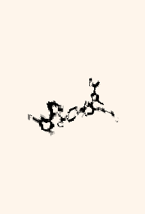 Bc1cnc(N2CCN(C(=O)N3N=CCC3c3cc(F)cc(F)c3)CC2)nc1-n1cc(C(=C)OC)cc1C